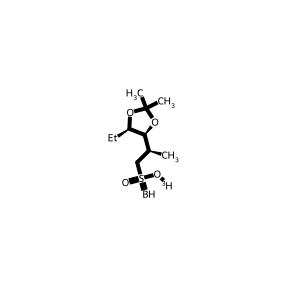 [3H]OS(=B)(=O)C[C@H](C)[C@@H]1OC(C)(C)O[C@@H]1CC